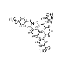 COc1ccc(CN(CCCc2ccccc2)Cc2ccc(-c3ccc(C(=O)O)cc3)cc2)cc1.O=C(O)C(F)(F)F